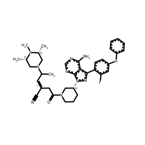 CC(/C=C(/C#N)CC(=O)N1CCC[C@@H](n2nc(-c3ccc(Oc4ccccc4)cc3F)c3c(N)ncnc32)C1)N1C[C@@H](C)N(C)[C@@H](C)C1